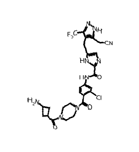 N#CCc1[nH]nc(C(F)(F)F)c1Cc1cnc(C(=O)Nc2ccc(C(=O)N3CCN(C(=O)C4CC(N)C4)CC3)c(Cl)c2)[nH]1